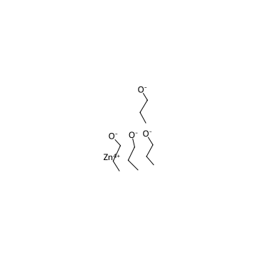 CCC[O-].CCC[O-].CCC[O-].CCC[O-].[Zn+4]